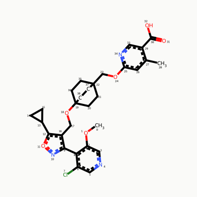 COc1cncc(Cl)c1-c1noc(C2CC2)c1COC12CCC(COc3cc(C)c(C(=O)O)cn3)(CC1)CC2